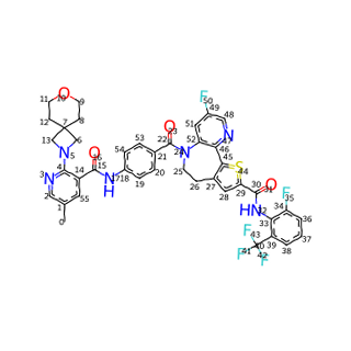 Cc1cnc(N2CC3(CCOCC3)C2)c(C(=O)Nc2ccc(C(=O)N3CCc4cc(C(=O)Nc5c(F)cccc5C(F)(F)F)sc4-c4ncc(F)cc43)cc2)c1